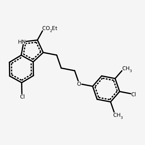 CCOC(=O)c1[nH]c2ccc(Cl)cc2c1CCCOc1cc(C)c(Cl)c(C)c1